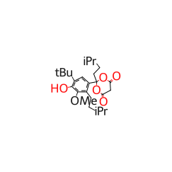 COc1c(O)c(C(C)(C)C)cc(C2(CCC(C)C)OC(=O)CC(=O)O2)c1CCC(C)C